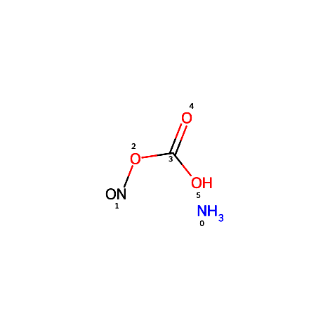 N.O=NOC(=O)O